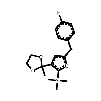 CC1(c2cc([CH]c3ccc(F)cc3)oc2[Si](C)(C)C)OCCO1